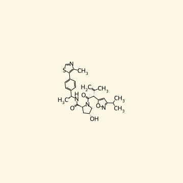 C=C(C)[C@@H](C(=O)N1C[C@H](O)C[C@H]1C(=O)N[C@@H](C)c1ccc(-c2scnc2C)cc1)c1cc(C(C)C)no1